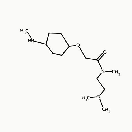 CNC1CCC(OCC(=O)N(C)CCN(C)C)CC1